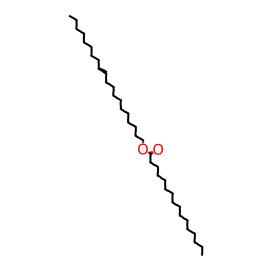 CCCCCCCCC=CCCCCCCCCCCOC(=O)CCCCCCCCCCCCCCC